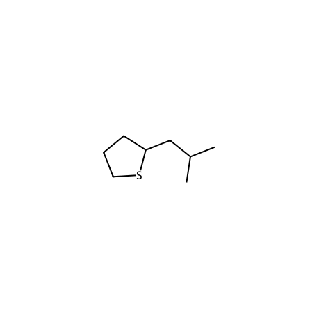 CC(C)CC1CCCS1